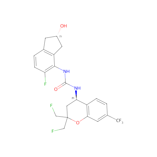 O=C(Nc1c(F)ccc2c1C[C@@H](O)C2)N[C@@H]1CC(CF)(CF)Oc2cc(C(F)(F)F)ccc21